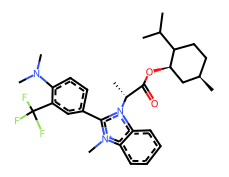 CC(C)C1CC[C@@H](C)C[C@H]1OC(=O)[C@@H](C)n1c(-c2ccc(N(C)C)c(C(F)(F)F)c2)[n+](C)c2ccccc21